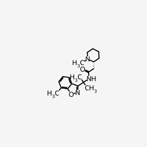 Cc1cccc2c(C(C)(C)NC(=O)C[C@H]3CCCCN3C)noc12